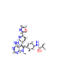 C=C(C)C(O)Nc1ccc(-c2c(-c3ccc(-c4ncco4)nc3)c3c(N)ncnc3n2C)cc1